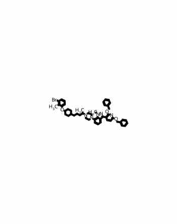 Cc1c(Br)cccc1OC1CCC(CCCC(C)N2CCN(c3cccc4c(-c5ccc(OCc6ccccc6)nc5OCc5ccccc5)nn(C)c34)CC2)CC1